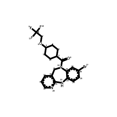 O=C(C1CCC(OCC(F)(F)F)CC1)N1Cc2cccnc2Nc2ccc(Br)cc21